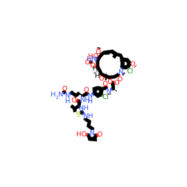 COc1cc2cc(c1Cl)N(C)C(=O)C[C@H](OC(=O)[C@H](C)N(C)C(=O)c1ccc(NC(=O)[C@H](CCCNC(N)=O)NC(=O)[C@@H](NC(=S)NCCCCN3C(=O)C=CC3O)C(C)C)cc1Cl)[C@]1(C)O[C@H]1[C@H](C)[C@@H]1C[C@@](O)(NC(=O)O1)[C@H](OC)/C=C/C=C(\C)C2